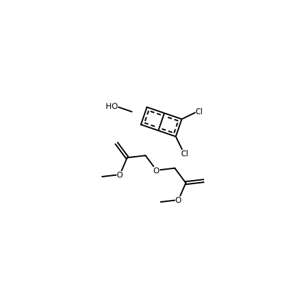 C=C(COCC(=C)OC)OC.CO.Clc1c2ccc-2c1Cl